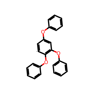 [c]1cc(Oc2ccccc2)cc(Oc2ccccc2)c1Oc1ccccc1